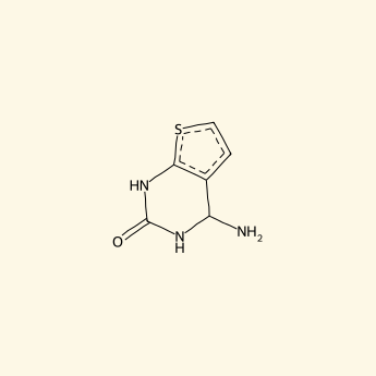 NC1NC(=O)Nc2sccc21